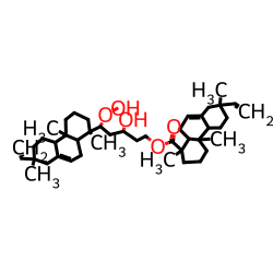 C=CC1(C)CCC2C(=CCC3C(C)(C(=O)OCCC(O)CC(OO)C4(C)CCCC5(C)C6CCC(C)(C=C)CC6=CCC45)CCCC23C)C1